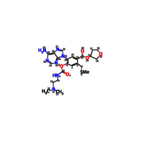 CSCc1cc(OC(=O)NCCN(C)C)c(-n2cnc3c(N)ncnc32)cc1C(=O)OC1CCOC1